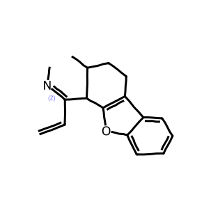 C=C/C(=N/C)C1c2oc3ccccc3c2CCC1C